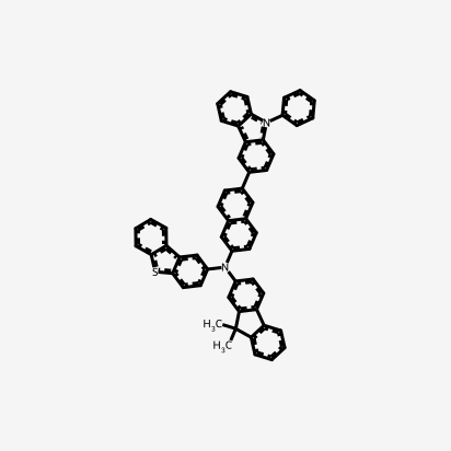 CC1(C)c2ccccc2-c2ccc(N(c3ccc4cc(-c5ccc6c(c5)c5ccccc5n6-c5ccccc5)ccc4c3)c3ccc4sc5ccccc5c4c3)cc21